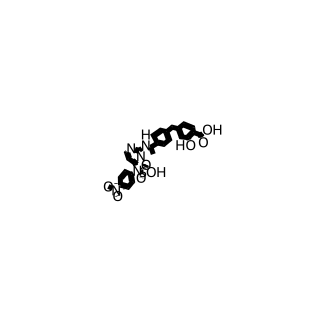 CC(Nc1nccc(N(c2ccc([N+](=O)[O-])cc2)S(=O)(=O)O)n1)c1ccc(Cc2ccc(C(=O)O)c(O)c2)cc1